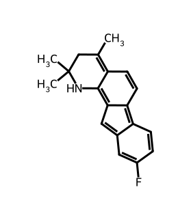 CC1=c2ccc3c(c2NC(C)(C)C1)C=c1cc(F)ccc1=3